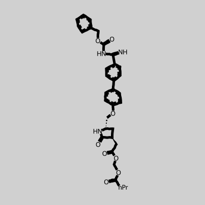 CCCC(=O)OCOC(=O)C[C@@H]1C[C@@H](COc2ccc(-c3ccc(C(=N)NC(=O)OCc4ccccc4)cc3)cc2)NC1=O